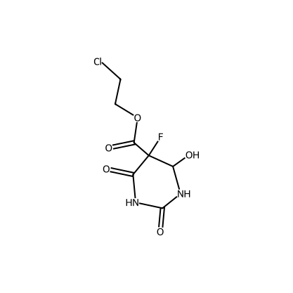 O=C1NC(=O)C(F)(C(=O)OCCCl)C(O)N1